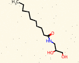 CCCCCCCCCC(=O)NCC(O)CO